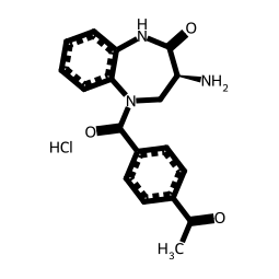 CC(=O)c1ccc(C(=O)N2C[C@H](N)C(=O)Nc3ccccc32)cc1.Cl